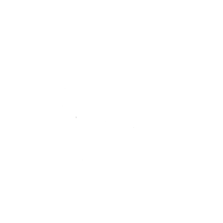 CC(C=O)C(C=O)c1ccccc1